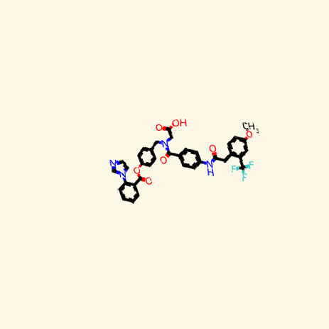 COc1ccc(CC(=O)Nc2ccc(C(=O)N(CC(=O)O)Cc3ccc(OC(=O)c4ccccc4-n4ccnc4)cc3)cc2)c(C(F)(F)F)c1